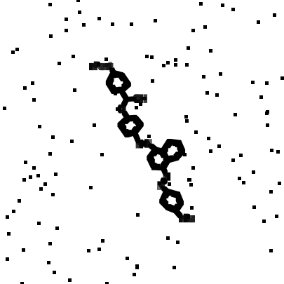 CCCCCc1ccc(C(O)Oc2ccc(/N=N/c3ccc(/N=N/c4ccc(CCCC)cc4)c4ccccc34)cc2)cc1